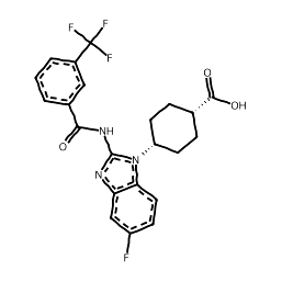 O=C(Nc1nc2cc(F)ccc2n1[C@H]1CC[C@@H](C(=O)O)CC1)c1cccc(C(F)(F)F)c1